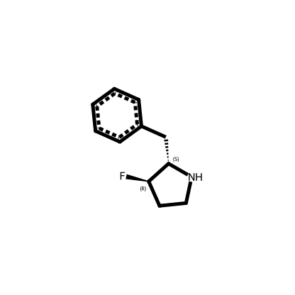 F[C@@H]1CCN[C@H]1Cc1ccccc1